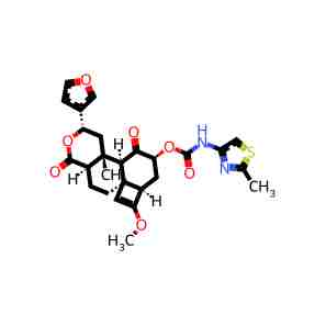 COC1=C[C@@]23CC[C@H]4C(=O)O[C@H](c5ccoc5)C[C@]4(C)[C@H]2C(=O)[C@@H](OC(=O)Nc2csc(C)n2)C[C@@H]13